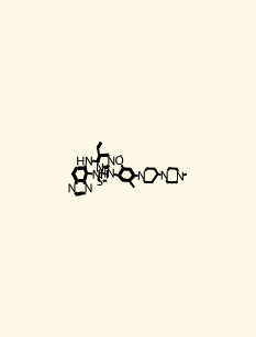 C=Cc1cnc(Nc2cc(C)c(N3CCC(N4CCN(C)CC4)CC3)cc2OC)nc1Nc1ccc2nccnc2c1NSC